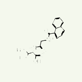 CC(C)[C@H](NC(=O)CNC(=O)c1cccc2ccccc12)C(=O)O